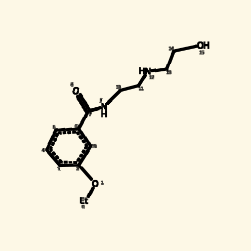 CCOc1cccc(C(=O)NCCNCCO)c1